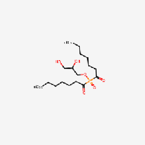 CCCCCCCCCCCCCCCC(=O)P(=O)(OCC(O)CO)C(=O)CCCCCCCCCCCCCCC